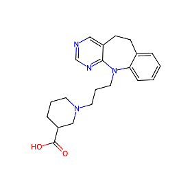 O=C(O)C1CCCN(CCCN2c3ccccc3CCc3cncnc32)C1